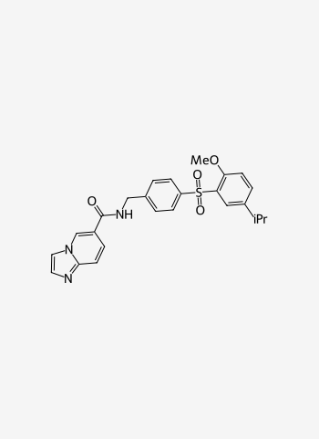 COc1ccc(C(C)C)cc1S(=O)(=O)c1ccc(CNC(=O)c2ccc3nccn3c2)cc1